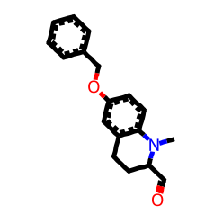 CN1c2ccc(OCc3ccccc3)cc2CCC1C=O